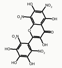 O=c1c(O)c(-c2c([N+](=O)[O-])c(O)c(O)c(O)c2[N+](=O)[O-])oc2c([N+](=O)[O-])c(O)c([N+](=O)[O-])c(O)c12